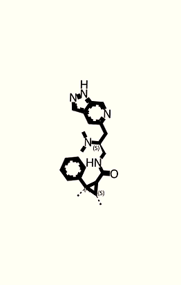 C[C@H]1C(C(=O)NC[C@H](Cc2cc3cn[nH]c3cn2)N(C)C)[C@]1(C)c1ccccc1